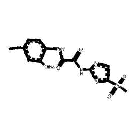 Cc1ccc(NC(=O)C(=O)Nc2ncc(S(C)(=O)=O)s2)c(OCC(C)C)c1